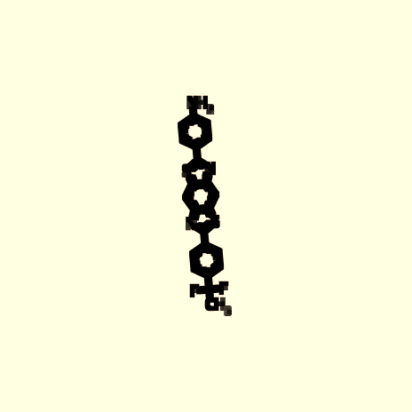 CC(F)(F)c1ccc(-c2nc3cc4sc(-c5ccc(N)cc5)nc4cc3s2)cc1